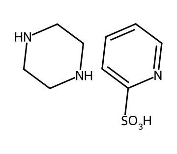 C1CNCCN1.O=S(=O)(O)c1ccccn1